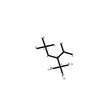 CC(C)C(CC(C)(C)C)C(F)(F)F